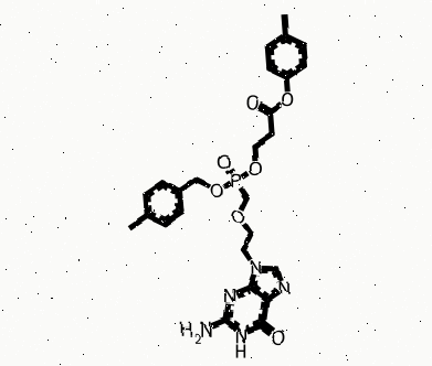 Cc1ccc(COP(=O)(COCCn2cnc3c(=O)[nH]c(N)nc32)OCCC(=O)Oc2ccc(C)cc2)cc1